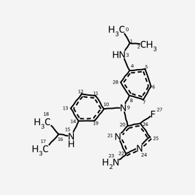 CC(C)Nc1cccc(N(c2cccc(NC(C)C)c2)c2nc(N)ncc2F)c1